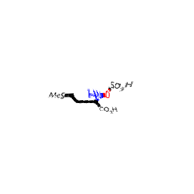 CSCCC(NOS(=O)(=O)O)C(=O)O